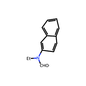 CCN([C]=O)c1ccc2ccccc2c1